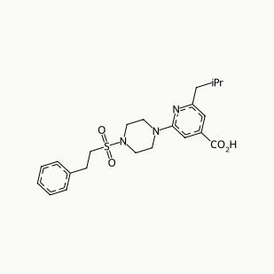 CC(C)Cc1cc(C(=O)O)cc(N2CCN(S(=O)(=O)CCc3ccccc3)CC2)n1